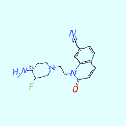 N#Cc1ccc2ccc(=O)n(CCN3CC[C@H](N)C(F)C3)c2c1